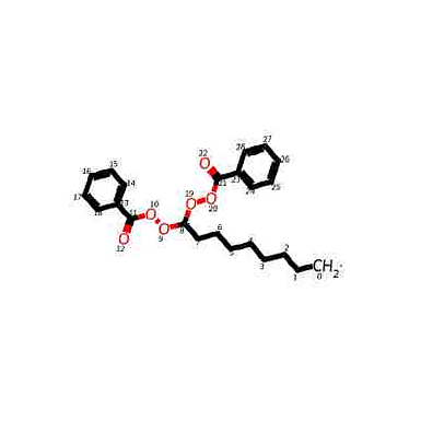 [CH2]CCCCCCC[C](OOC(=O)c1ccccc1)OOC(=O)c1ccccc1